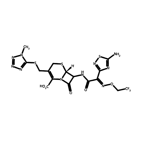 Cn1nnnc1SCC1=C(C(=O)O)N2C(=O)C(NC(=O)/C(=N/OCC(F)(F)F)c3nsc(N)n3)[C@H]2SC1